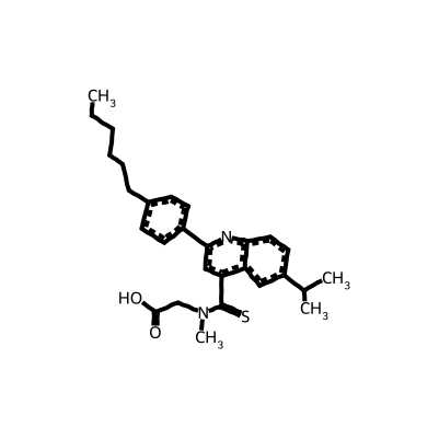 CCCCCCc1ccc(-c2cc(C(=S)N(C)CC(=O)O)c3cc(C(C)C)ccc3n2)cc1